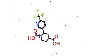 O=C(O)C1CCN(C(=O)O)C(c2ccc(C(F)(F)F)nc2)C1